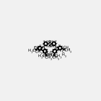 CC1C=c2c(c3cc(C(C)(C)C)ccc3n2-c2cccc(S(=N)(=O)c3cccc(-n4c5ccc(C(C)(C)C)cc5c5cc(C(C)(C)C)ccc54)c3)c2)=CC1C(C)(C)C